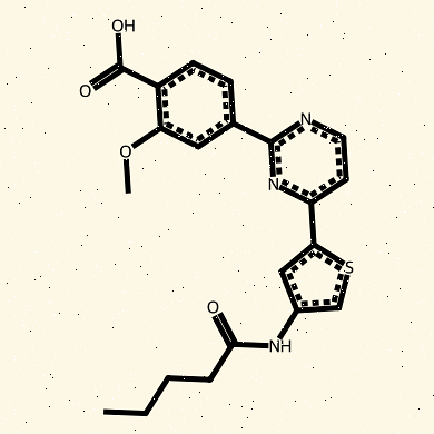 CCCCC(=O)Nc1csc(-c2ccnc(-c3ccc(C(=O)O)c(OC)c3)n2)c1